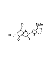 CNC1CCCc2sc(-c3nc4c(cc3F)c(=O)c(C(=O)O)cn4C3CC3)cc21